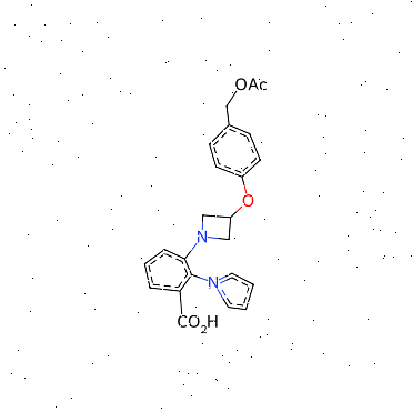 CC(=O)OCc1ccc(OC2CN(c3cccc(C(=O)O)c3-n3cccc3)C2)cc1